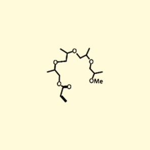 C=CC(=O)OCC(C)OCC(C)OCC(C)OCC(C)OC